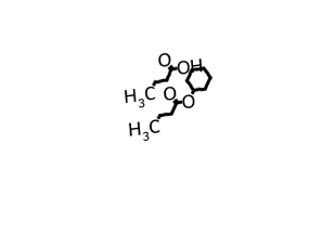 CCCC(=O)O.CCCC(=O)OC1CCCCC1